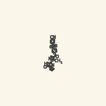 Cc1c(C(=O)N2CCN(S(=O)(=O)c3ccc(C#N)cc3)CC2)cnn1-c1nn2cccc2c(=O)[nH]1